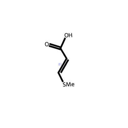 CS/C=C/C(=O)O